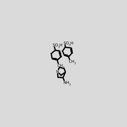 CC1=CCC(S(=O)(=O)O)C=C1.CC1=CCC(S(=O)(=O)O)C=C1.NC1CN2CCC1C2